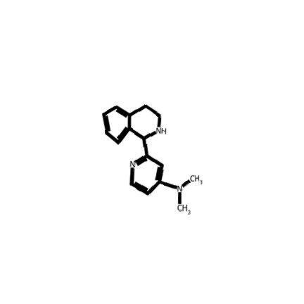 CN(C)c1ccnc(C2NCCc3ccccc32)c1